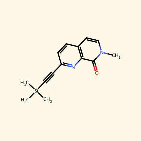 Cn1ccc2ccc(C#C[Si](C)(C)C)nc2c1=O